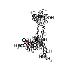 C#CCN(Cc1ccc2nc(N)[nH]c(=O)c2c1)c1ccc(C(=O)NCCCC(=O)OCCSSCCC(=O)N[C@@H](CC(=O)O)C(=O)N[C@@H](CC(=O)O)C(=O)N[C@@H](CC(=O)O)C(=O)N[C@H](C=O)CNC(=O)CCSSCCOC(=O)NNOC(O)=C2[C@H](O)[C@]3(CC)C=CCN4CC[C@@]5(c6cc([C@](CC)(C(=O)OC)c7[nH]c8ccccc8c7CCN)c(OC)cc6N(C)[C@@]25C)[C@@H]43)cc1